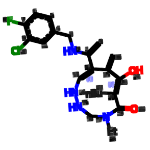 C=C(NCc1ccc(F)c(Cl)c1)/C1=C/NNCN(CC)C(=O)/C(CCCC)=C(\O)C1=C